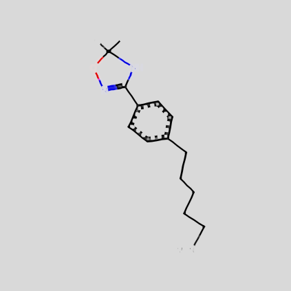 CNCCCCCc1ccc(C2=NOC(C)(C(F)(F)F)N2)cc1